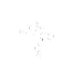 O=C(O)C1CC(C(=O)N(Cc2ccccc2)Cc2ccc(Cl)cc2)C1C(=O)O